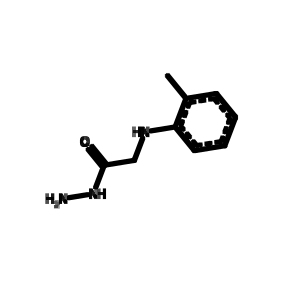 Cc1ccccc1NCC(=O)NN